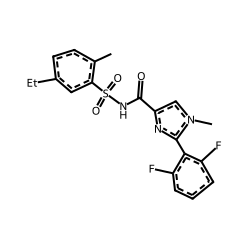 CCc1ccc(C)c(S(=O)(=O)NC(=O)c2cn(C)c(-c3c(F)cccc3F)n2)c1